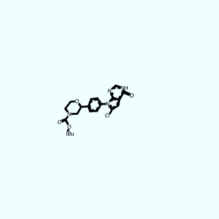 CC(C)(C)OC(=O)N1CCOC(c2ccc(-n3c(Cl)cc4c(=O)[nH]cnc43)cc2)C1